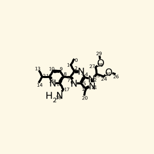 CCc1nc2c(nc1-c1ccc(C(C)C)nc1CN)c(C)nn2C(COC)COC